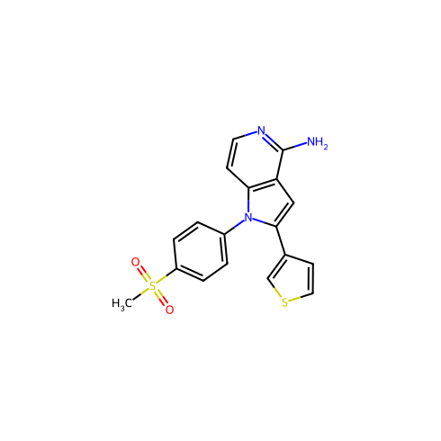 CS(=O)(=O)c1ccc(-n2c(-c3ccsc3)cc3c(N)nccc32)cc1